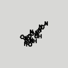 N#Cc1ccc(N2CCN(C(O)c3cncc(OC[C@@H]4c5ccccc5CN4c4cn[nH]c(=O)c4C(F)(F)F)c3)CC2)nc1